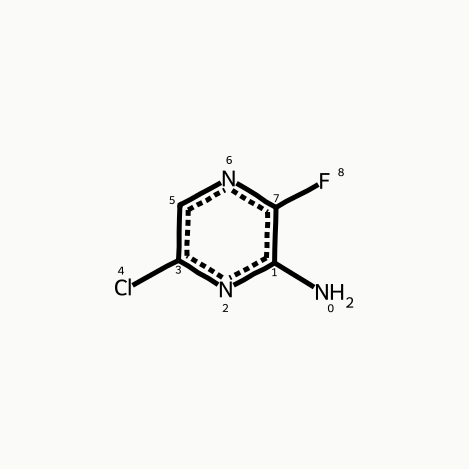 Nc1nc(Cl)cnc1F